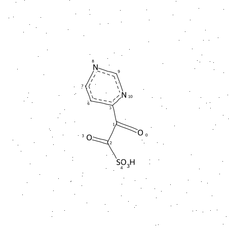 O=C(C(=O)S(=O)(=O)O)c1ccncn1